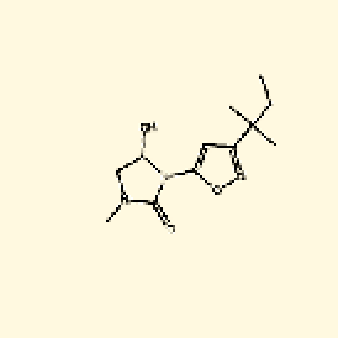 CCC(C)(C)c1cc(N2C(=O)N(C)CC2O)on1